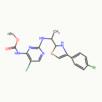 CCCCOC(=O)Nc1nc(NC(C)C2NC(c3ccc(Br)cc3)=CS2)ncc1F